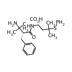 CC(C)(C[C@H](NC(=O)[C@H](Cc1ccccc1)C(C)(C)N)C(=O)O)SP